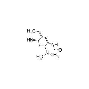 C/C=C1/C=C(NC=O)C(N(C)C)=CC1=N